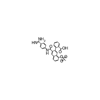 CS(=O)(=O)Oc1cccc2cc(C(=O)Nc3ccc(C(=N)N)cc3)c(-c3ccccc3C(=O)O)cc12